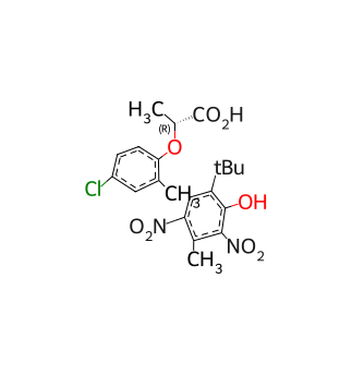 Cc1c([N+](=O)[O-])cc(C(C)(C)C)c(O)c1[N+](=O)[O-].Cc1cc(Cl)ccc1O[C@H](C)C(=O)O